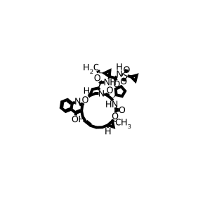 C=C[C@@H]1C[C@]1(NC(=O)[C@@H]1C[C@@H]2CN1C(=O)[C@H](C1CCCC1)NC(=O)O[C@@]1(C)C[C@@H]1CCC=CCc1c(nc3ccccc3c1O)O2)C(=O)NS(=O)(=O)C1CC1